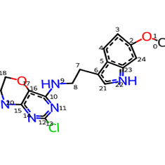 FC(F)(F)Oc1ccc2c(CCNc3nc(Cl)nc4c3OCCN4)c[nH]c2c1